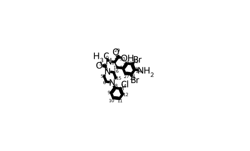 CN(C(=O)N1CCN(c2ccccc2Cl)CC1)[C@H](Cc1cc(Br)c(N)c(Br)c1)C(=O)O